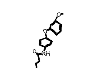 CCCC(=O)Nc1ccc(Oc2cccc(OC)c2)cc1